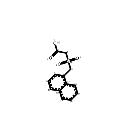 O=C(O)CS(=O)(=O)Cc1cccc2ccccc12